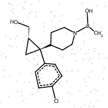 CB(O)N1CCC([C@@]2(c3ccc(Cl)cc3)C[C@@H]2CO)CC1